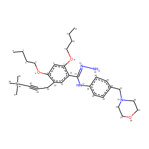 CCCCOc1cc(OCCCC)c(/C(=N/N)Nc2ccc(CN3CCOCC3)cc2)cc1CC#C[Si](C)(C)C